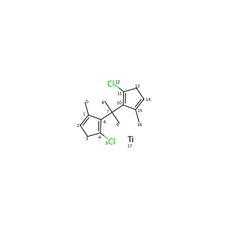 CC1=CCC(Cl)=C1C(C)(C)C1=C(Cl)CC=C1C.[Ti]